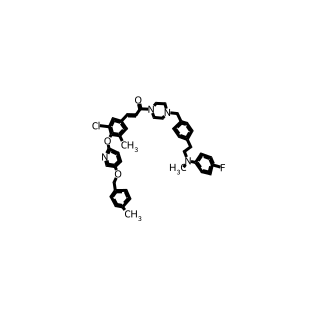 Cc1ccc(COc2ccc(Oc3c(C)cc(C=CC(=O)N4CCN(Cc5ccc(CCN(C)c6ccc(F)cc6)cc5)CC4)cc3Cl)nc2)cc1